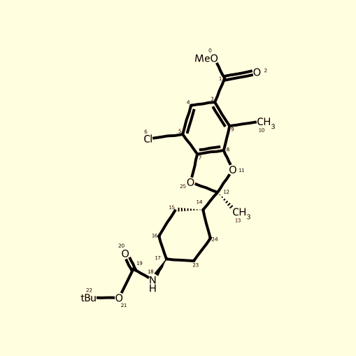 COC(=O)c1cc(Cl)c2c(c1C)O[C@@](C)([C@H]1CC[C@H](NC(=O)OC(C)(C)C)CC1)O2